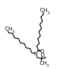 CCCCCCCCCCCC(=O)N(CCCCCCCCCC)CC1(C)CO1